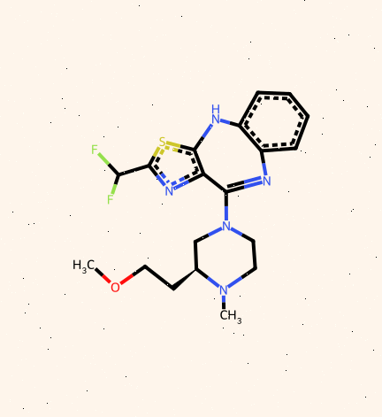 COCC[C@H]1CN(C2=Nc3ccccc3Nc3sc(C(F)F)nc32)CCN1C